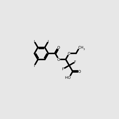 CCOC(OC(=O)c1cc(I)cc(I)c1I)C(F)(F)C(=O)O